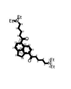 CCN(CC)CCCCC(=O)c1ccc2c(C(=O)CCCCN(CC)CC)ccc3c2c1CC3